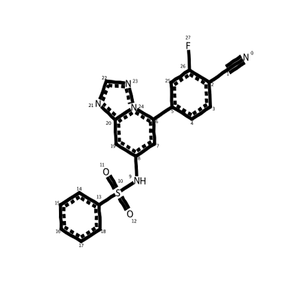 N#Cc1ccc(-c2cc(NS(=O)(=O)c3ccccc3)cc3ncnn23)cc1F